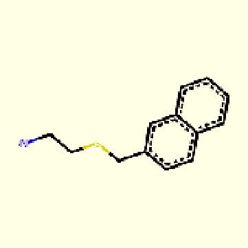 [N]CCSCc1ccc2ccccc2c1